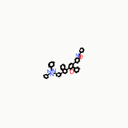 c1ccc(-c2nc(-c3ccccc3)nc(-c3cccc(-c4ccc(-c5ccc(-c6ccc7oc(-c8ccccc8)nc7c6)c6c5oc5ccccc56)c5ccccc45)c3)n2)cc1